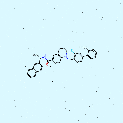 C[C@H](NC(=O)c1ccc2c(c1)CCCN2Cc1ccc(-c2ccccc2C(=O)O)cc1F)c1ccc2ccccc2c1